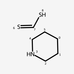 C1CCNCC1.S=CS